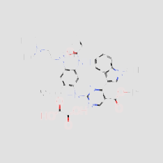 C=CC(=O)Nc1cc(Nc2ncc(C(=O)OC(C)C)c(-c3cn(C)c4ccccc34)n2)c(OC)cc1N(C)CCN(C)C.O=C(O)C(=O)O